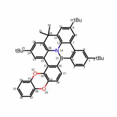 CC(C)(C)c1ccc2c(c1)-c1cc(C(C)(C)C)cc3c1N1B2c2ccc4c(c2-c2cc(C(C)(C)C)cc(c21)C3(C)C)Oc1ccccc1O4